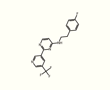 Fc1ccc(CCNc2ccnc(-c3cncc(C(F)(F)F)c3)n2)cc1